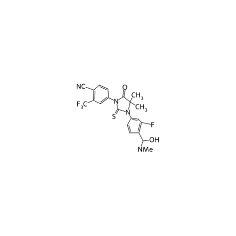 CNC(O)c1ccc(N2C(=S)N(c3ccc(C#N)c(C(F)(F)F)c3)C(=O)C2(C)C)cc1F